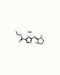 Br.CCOC(=O)c1csc(N=C2NCCN2)n1